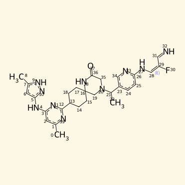 Cc1cc(Nc2cc(C)[nH]n2)nc(C2CCC3(CC2)CN(C(C)c2ccc(N/C=C(/F)C=N)nc2)CC(=O)N3)n1